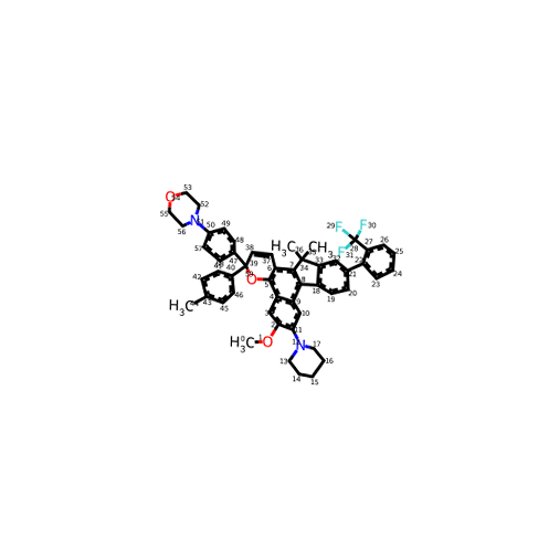 COc1cc2c3c(c4c(c2cc1N1CCCCC1)-c1ccc(-c2ccccc2C(F)(F)F)cc1C4(C)C)C=CC(c1ccc(C)cc1)(c1ccc(N2CCOCC2)cc1)O3